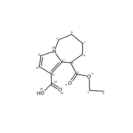 CCOC(=O)C1CCCCn2ccc(C(=O)O)c21